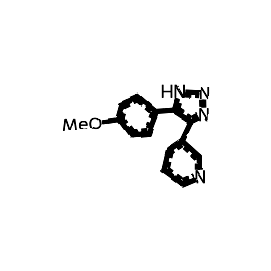 COc1ccc(-c2[nH]nnc2-c2cccnc2)cc1